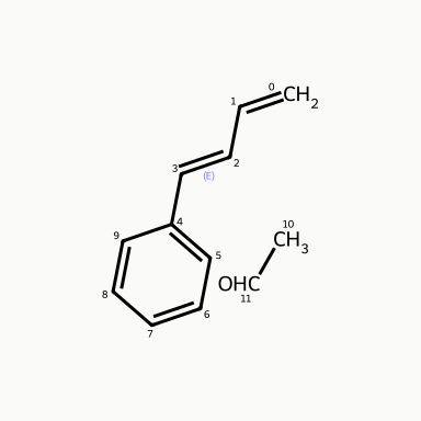 C=C/C=C/c1ccccc1.CC=O